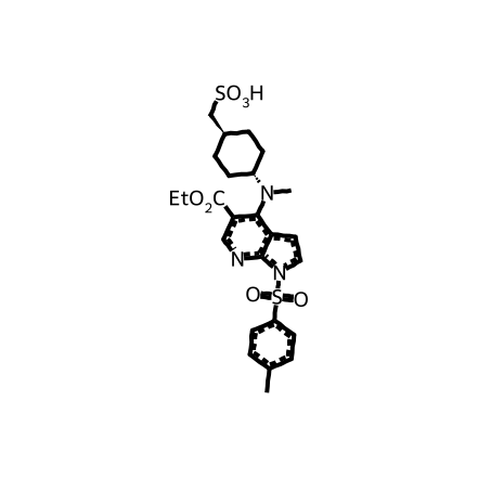 CCOC(=O)c1cnc2c(ccn2S(=O)(=O)c2ccc(C)cc2)c1N(C)[C@H]1CC[C@H](CS(=O)(=O)O)CC1